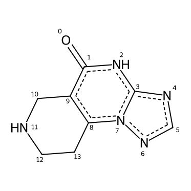 O=c1[nH]c2ncnn2c2c1CNCC2